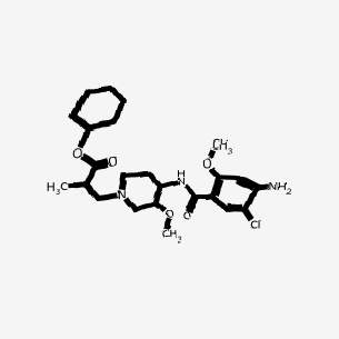 COc1cc(N)c(Cl)cc1C(=O)NC1CCN(CC(C)C(=O)OC2CCCCC2)CC1OC